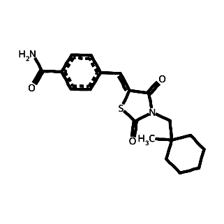 CC1(CN2C(=O)SC(=Cc3ccc(C(N)=O)cc3)C2=O)CCCCC1